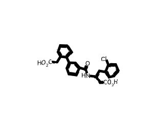 O=C(O)Cc1ccccc1-c1cccc(C(=O)NC(CC(=O)O)Cc2ccccc2Cl)c1